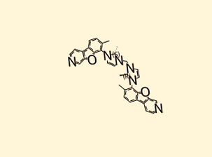 Cc1ccc2c(oc3cnccc32)c1N1C=CN(CN2C=CN(c3c(C)ccc4c3oc3cnccc34)[C@H]2C)[C@H]1C